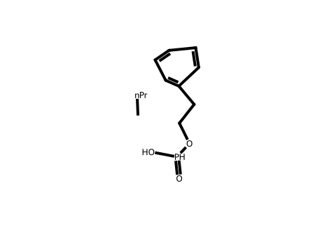 CCCC.O=[PH](O)OCCc1ccccc1